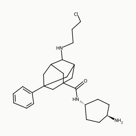 N[C@H]1CC[C@H](NC(=O)C23CC4CC(c5ccccc5)(CC(C2)C4NCCCCl)C3)CC1